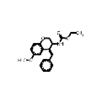 CCOC(=O)NC1COc2ccc(OC)cc2/C1=C\c1ccccc1